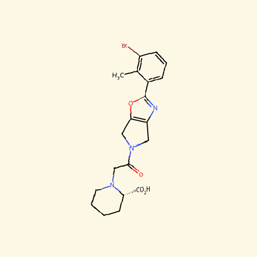 Cc1c(Br)cccc1-c1nc2c(o1)CN(C(=O)CN1CCCC[C@H]1C(=O)O)C2